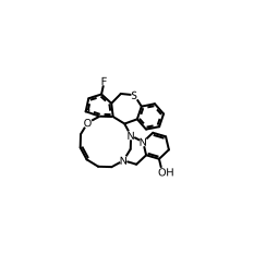 OC1=C2CN3CCC=CCOc4ccc(F)c5c4C(c4ccccc4SC5)N(C3)N2C=CC1